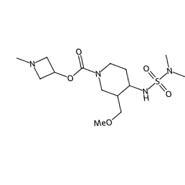 COCC1CN(C(=O)OC2CN(C)C2)CCC1NS(=O)(=O)N(C)C